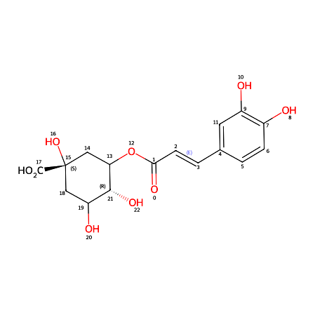 O=C(/C=C/c1ccc(O)c(O)c1)OC1C[C@](O)(C(=O)O)CC(O)[C@H]1O